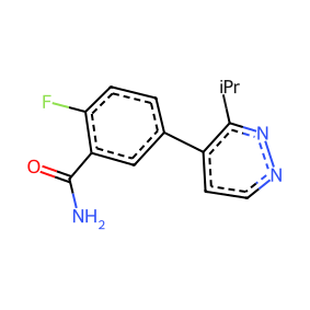 CC(C)c1nnccc1-c1ccc(F)c(C(N)=O)c1